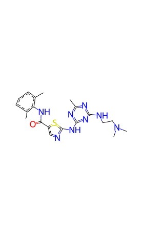 Cc1nc(NCCN(C)C)nc(Nc2ncc(C(=O)Nc3c(C)cccc3C)s2)n1